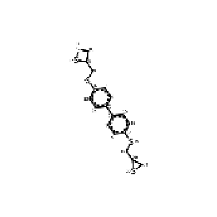 c1cc(-c2ccc(SCC3CSS3)cc2)ccc1SCC1CS1